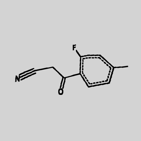 Cc1ccc(C(=O)CC#N)c(F)c1